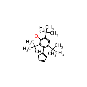 CC(C)(C)c1cc(C(C)(C)C)c(C2=CC=CC2)c(C(C)(C)C)c1[O]